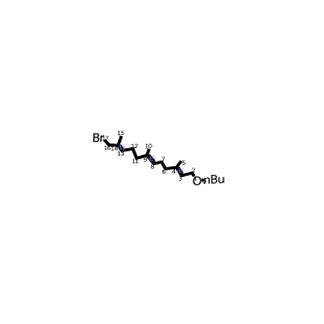 CCCCOC/C=C(\C)CC/C=C(\C)CC/C=C(\C)CBr